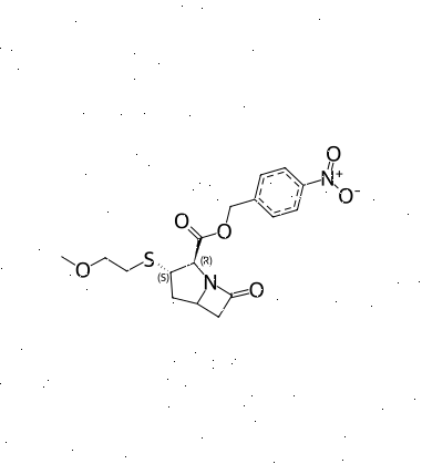 COCCS[C@H]1CC2CC(=O)N2[C@@H]1C(=O)OCc1ccc([N+](=O)[O-])cc1